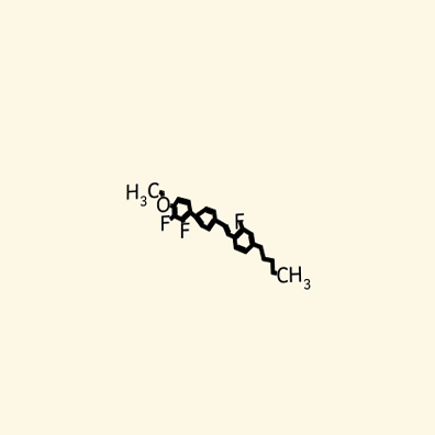 CCCCCc1ccc(/C=C/c2ccc(-c3ccc(OCC)c(F)c3F)cc2)c(F)c1